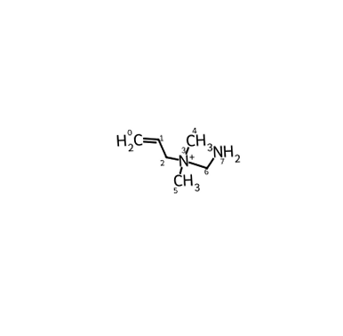 C=CC[N+](C)(C)CN